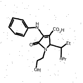 CCCC(CC)C1C(C(=O)O)=C(Nc2ccccc2)C(=O)N1CCO